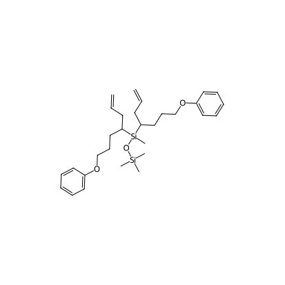 C=CCC(CCCOc1ccccc1)[Si](C)(O[Si](C)(C)C)C(CC=C)CCCOc1ccccc1